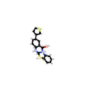 O=c1c2cc(-c3ccsc3)ccc2nc2sc3ccccc3n12